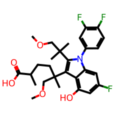 COCC(C)(C)c1c(C(C)(CCC(C)C(=O)O)COC)c2c(O)cc(F)cc2n1-c1ccc(F)c(F)c1